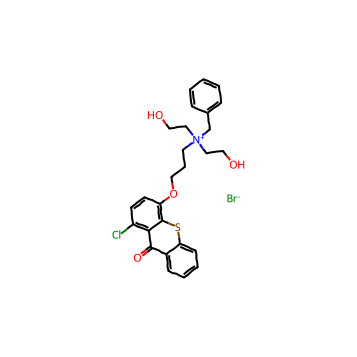 O=c1c2ccccc2sc2c(OCCC[N+](CCO)(CCO)Cc3ccccc3)ccc(Cl)c12.[Br-]